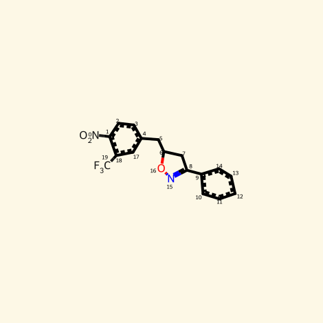 O=[N+]([O-])c1ccc(CC2CC(c3ccccc3)=NO2)cc1C(F)(F)F